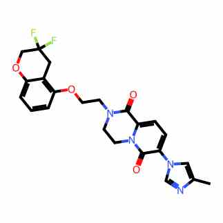 Cc1cn(-c2ccc3n(c2=O)CCN(CCOc2cccc4c2CC(F)(F)CO4)C3=O)cn1